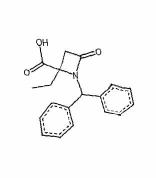 CCC1(C(=O)O)CC(=O)N1C(c1ccccc1)c1ccccc1